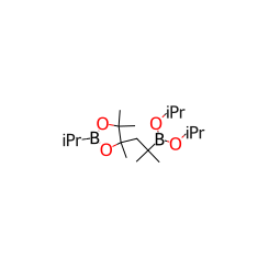 CC(C)OB(OC(C)C)C(C)(C)CC1(C)OB(C(C)C)OC1(C)C